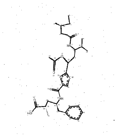 CC[C@H](C)CC(=O)NC(CC(OC(C)=O)c1nc(C(=O)N[C@@H](Cc2ccccc2)C[C@H](C)C(=O)O)cs1)C(C)C